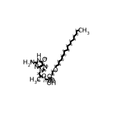 CCCCCCCCCCCCCCCCOCCOP(=O)(O)CO[C@H](C)Cn1cnc2c(=O)[nH]c(N)nc21